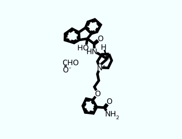 NC(=O)c1ccccc1OCCC[N+]12CCC(CC1)[C@@H](NC(=O)C1(O)c3ccccc3-c3ccccc31)C2.O=C[O-]